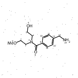 COCCN(CCO)C(=O)c1ccc(CN)cc1